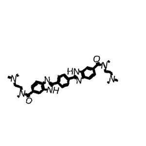 CN(C)CCN(C)C(=O)c1ccc2nc(-c3ccc(-c4nc5ccc(C(=O)N(C)CCN(C)C)cc5[nH]4)cc3)[nH]c2c1